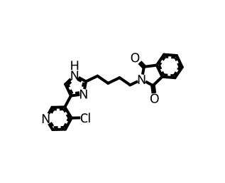 O=C1c2ccccc2C(=O)N1CCCCc1nc(-c2cnccc2Cl)c[nH]1